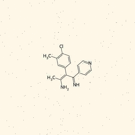 C/C(N)=C(/C(=N)c1ccncc1)c1ccc(Cl)c(C)c1